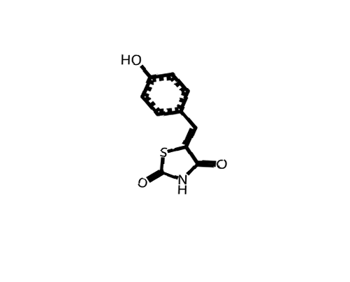 O=C1NC(=O)C(=Cc2ccc(O)cc2)S1